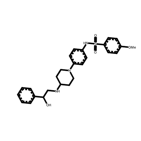 COc1ccc(S(=O)(=O)Nc2ccc(N3CCC(NCC(O)c4ccccc4)CC3)cc2)cc1